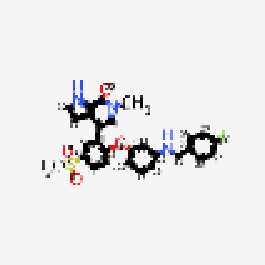 Cn1cc(-c2cc(S(C)(=O)=O)ccc2Oc2cccc(NCc3ccc(F)cc3)c2)c2cc[nH]c2c1=O